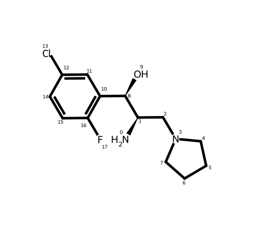 N[C@H](CN1CCCC1)[C@H](O)c1cc(Cl)ccc1F